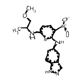 COCC(C)Nc1ccc([N+](=O)[O-])c(Nc2ccc3[nH]ncc3c2)n1